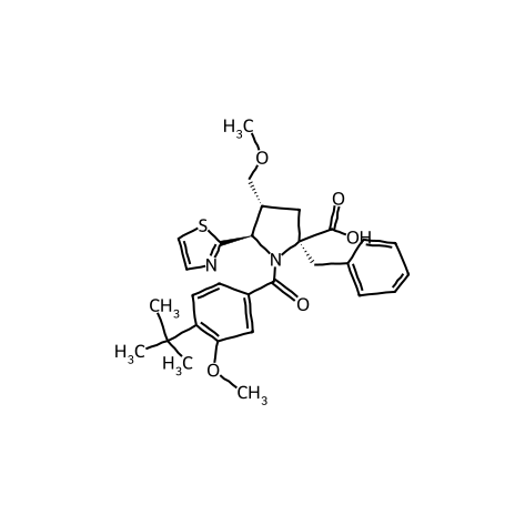 COC[C@@H]1C[C@@](Cc2ccccc2)(C(=O)O)N(C(=O)c2ccc(C(C)(C)C)c(OC)c2)[C@H]1c1nccs1